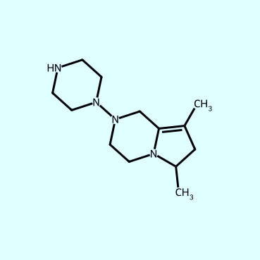 CC1=C2CN(N3CCNCC3)CCN2C(C)C1